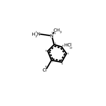 CN(N)c1cccc(Cl)c1.Cl